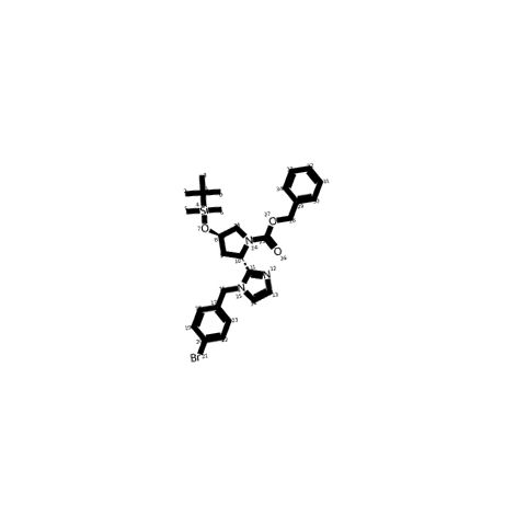 CC(C)(C)[Si](C)(C)O[C@@H]1C[C@@H](c2nccn2Cc2ccc(Br)cc2)N(C(=O)OCc2ccccc2)C1